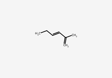 [CH2]CC=CC(=C)C